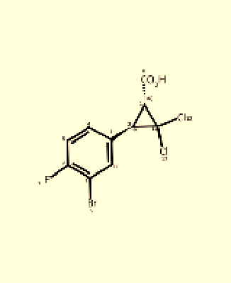 O=C(O)[C@H]1[C@H](c2ccc(F)c(Br)c2)C1(Cl)Cl